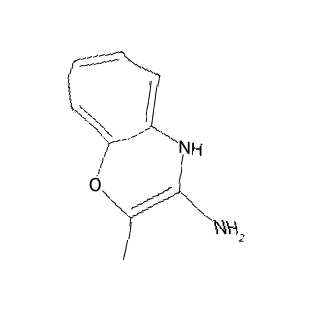 CC1=C(N)Nc2ccccc2O1